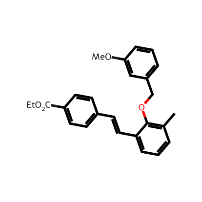 CCOC(=O)c1ccc(C=Cc2cccc(C)c2OCc2cccc(OC)c2)cc1